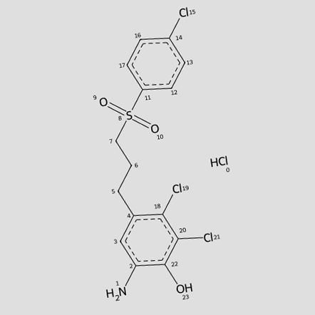 Cl.Nc1cc(CCCS(=O)(=O)c2ccc(Cl)cc2)c(Cl)c(Cl)c1O